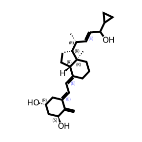 C=C1/C(=C/C=C2\CCC[C@]3(C)[C@@H]([C@H](C)/C=C/C(O)C4CC4)CC[C@@H]23)C[C@@H](O)C[C@@H]1O